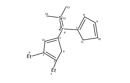 CCC1=C(CC)C[C]([Zr]([C]2=CC=CC2)=[Si](C)C)=C1